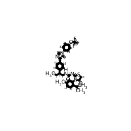 CCC(CNC(=O)/N=C1/SCC(=O)N1c1cc(C)ccc1C(C)C)c1ccc(-c2ncn(-c3ccc(OC(F)(F)F)cc3)n2)cc1